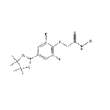 CC(C)NC(=O)COc1c(F)cc(B2OC(C)(C)C(C)(C)O2)cc1F